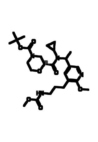 COC(=O)NCCCc1cc(C(C)N(C(=O)[C@H]2CN(C(=O)OC(C)(C)C)CCO2)C2CC2)cnc1OC